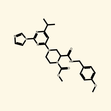 COC(=O)N1CCN(c2cc(C(C)C)nc(-n3ccnc3)n2)CC1C(=O)NCc1ccc(OC)cc1